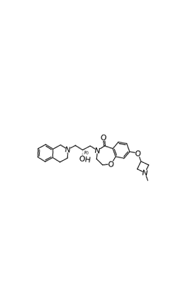 CN1CC(Oc2ccc3c(c2)OCCN(C[C@H](O)CN2CCc4ccccc4C2)C3=O)C1